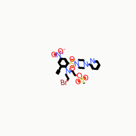 C#Cc1cc([N+](=O)[O-])cc(S(=O)(=O)N2CCN(c3ccccn3)CC2)c1N(CCBr)CCOS(C)(=O)=O